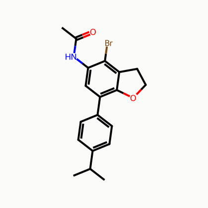 CC(=O)Nc1cc(-c2ccc(C(C)C)cc2)c2c(c1Br)CCO2